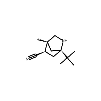 CC(C)(C)[C@@]12C[C@@H](CN1)[C@H](C#N)C2